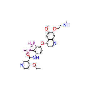 CCOc1ccncc1C(=O)Nc1ccc(Oc2ccnc3cc(OCCNC)c(OC)cc23)c(P)c1P